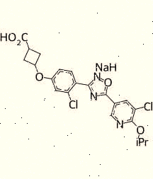 CC(C)Oc1ncc(-c2nc(-c3ccc(OC4CC(C(=O)O)C4)cc3Cl)no2)cc1Cl.[NaH]